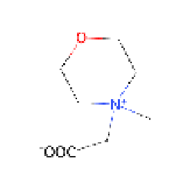 C[N+]1(CC(=O)[O-])CCOCC1